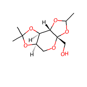 CC1O[C@H]2[C@@H]3OC(C)(C)O[C@@H]3CO[C@@]2(CO)O1